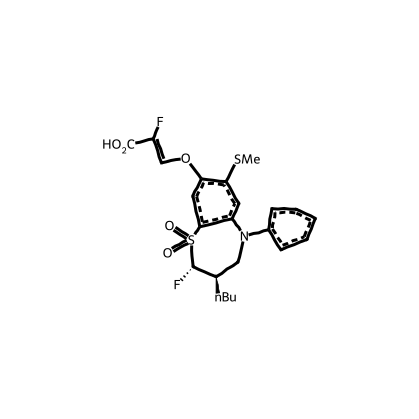 CCCC[C@@H]1CN(c2ccccc2)c2cc(SC)c(OC=C(F)C(=O)O)cc2S(=O)(=O)[C@H]1F